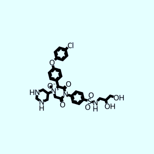 O=C1C[N+]([O-])(C2CNCNC2)C(c2ccc(Oc3ccc(Cl)cc3)cc2)C(=O)N1c1ccc(S(=O)(=O)NCC(O)CO)cc1